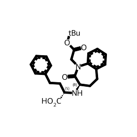 CC(C)(C)OC(=O)CN1C(=O)[C@H](N[C@@H](CCc2ccccc2)C(=O)O)CCc2ccccc21